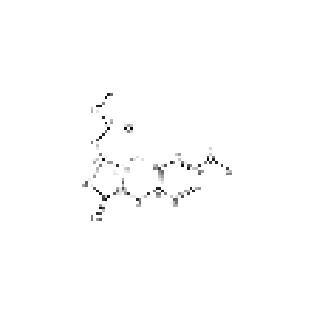 COC(=O)C[C@H]1OC(=O)N(Cc2ccc(OC)cc2)[C@H]1C